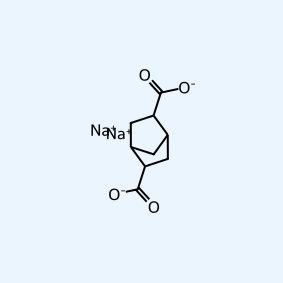 O=C([O-])C1CC2CC1CC2C(=O)[O-].[Na+].[Na+]